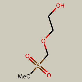 COS(=O)(=O)COCCO